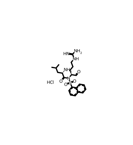 CC(C)C[C@H](N)C(=O)N([C@H](C=O)CCCNC(=N)N)S(=O)(=O)c1cccc2ccccc12.Cl